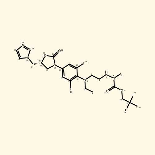 CCN(CCNN(C)C(=O)OCC(F)(F)F)c1c(F)cc(N2C[C@H](Cn3ccnn3)OC2=O)cc1F